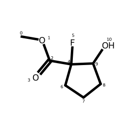 COC(=O)C1(F)CCCC1O